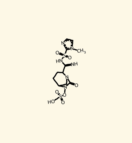 Cn1ccnc1S(=O)(=O)NC(=N)C1CCC2CN1C(=O)N2OS(=O)(=O)O